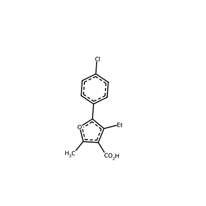 CCc1c(-c2ccc(Cl)cc2)oc(C)c1C(=O)O